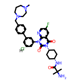 CN1CCCN(Cc2ccc(-c3cccc(-n4c(=O)n([C@H]5CC[C@@H](NC(=O)C(C)(C)N)CC5)c(=O)c5cc(F)cnc54)c3)cc2)CC1.[Cl-].[H+]